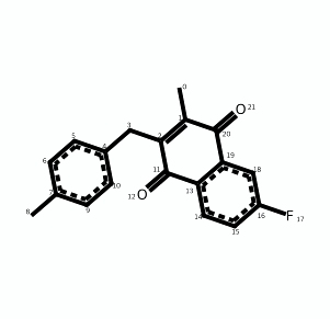 CC1=C(Cc2ccc(C)cc2)C(=O)c2ccc(F)cc2C1=O